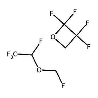 FC1(F)COC1(F)F.FCOC(F)C(F)(F)F